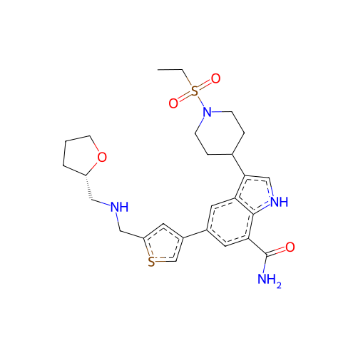 CCS(=O)(=O)N1CCC(c2c[nH]c3c(C(N)=O)cc(-c4csc(CNC[C@@H]5CCCO5)c4)cc23)CC1